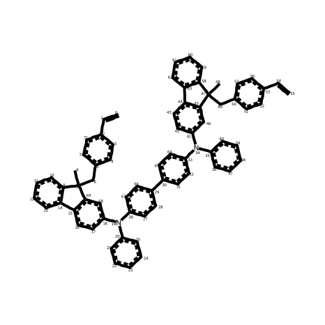 C=Cc1ccc(CC2(C)c3ccccc3-c3ccc(N(c4ccccc4)c4ccc(-c5ccc(N(c6ccccc6)c6ccc7c(c6)C(C)(Cc6ccc(C=C)cc6)c6ccccc6-7)cc5)cc4)cc32)cc1